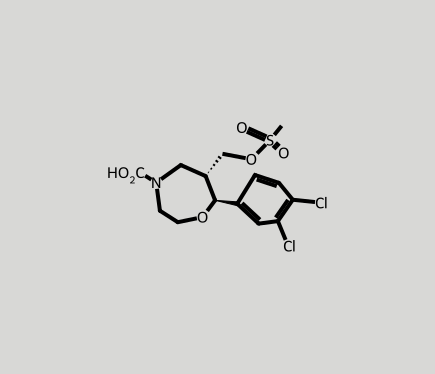 CS(=O)(=O)OC[C@H]1CN(C(=O)O)CCO[C@@H]1c1ccc(Cl)c(Cl)c1